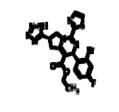 CCOC(=O)C1=C2C[C@@H](c3nnn[nH]3)CN2C(c2nccs2)=N[C@H]1c1ccc(F)cc1Br